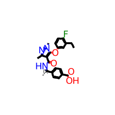 CCc1cc(Oc2c(C(=O)N[C@@H](C)c3ccc(C(=O)O)cc3)c(C)nn2C)ccc1F